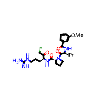 COc1cccc(C(=O)N[C@H](C(=O)N2CCC[C@H]2C(=O)N[C@@H](CCCNC(=N)N)C(=O)CF)C(C)C)c1